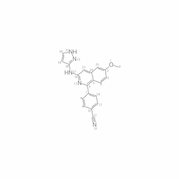 COc1ccc2c(-c3ccc(C#N)cc3)nc(Nc3cc[nH]n3)cc2c1